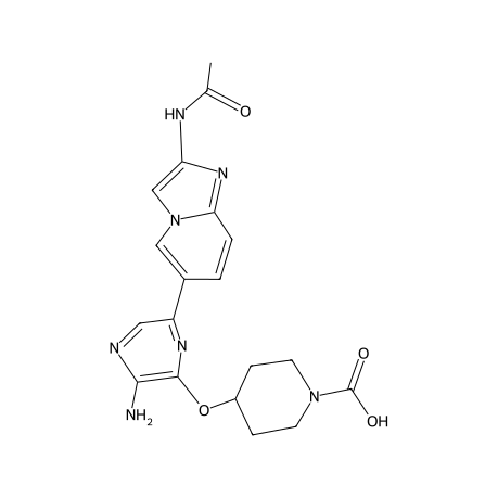 CC(=O)Nc1cn2cc(-c3cnc(N)c(OC4CCN(C(=O)O)CC4)n3)ccc2n1